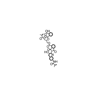 C=C(C)C(=O)Nc1ccc2cc(O)c(C3C(=O)c4cccc(C(=O)OCC(COC(=O)C(=C)C)OC(=O)c5ccccc5C(=O)O)c4C3=O)nc2c1